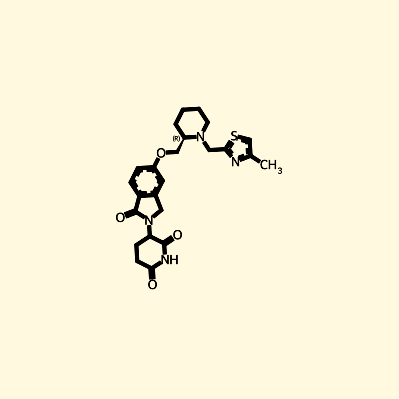 Cc1csc(CN2CCCC[C@@H]2COc2ccc3c(c2)CN(C2CCC(=O)NC2=O)C3=O)n1